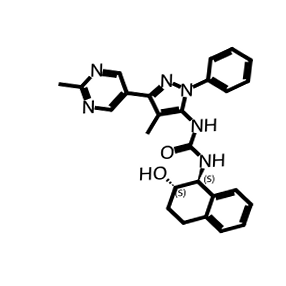 Cc1ncc(-c2nn(-c3ccccc3)c(NC(=O)N[C@H]3c4ccccc4CC[C@@H]3O)c2C)cn1